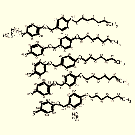 CCCCCCCOc1ccc(COc2ccc([S])cc2)cc1.CCCCCCCOc1ccc(COc2ccc([S])cc2)cc1.CCCCCCCOc1ccc(COc2ccc([S])cc2)cc1.CCCCCCCOc1ccc(COc2ccc([S])cc2)cc1.CCCCCCCOc1ccc(COc2ccc([S])cc2)cc1.F.F.F.F.F